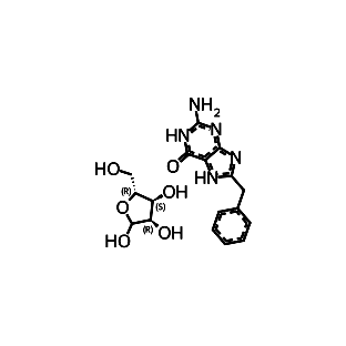 Nc1nc2nc(Cc3ccccc3)[nH]c2c(=O)[nH]1.OC[C@H]1OC(O)[C@H](O)[C@@H]1O